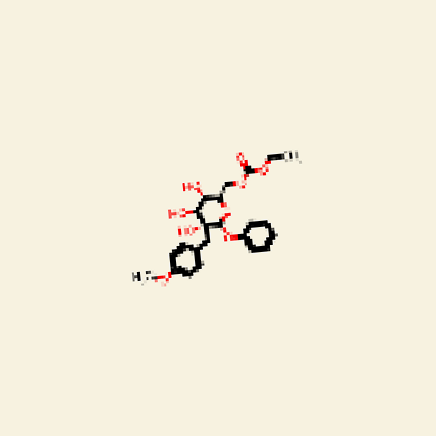 CCOC(=O)OC[C@H]1O[C@@H](Oc2ccccc2)[C@@](O)(Cc2ccc(OC)cc2)[C@@H](O)[C@@H]1O